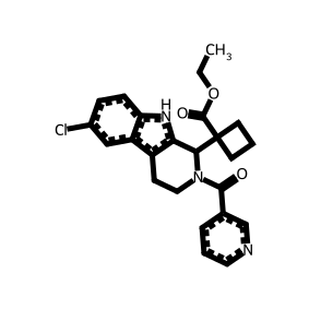 CCOC(=O)C1(C2c3[nH]c4ccc(Cl)cc4c3CCN2C(=O)c2cccnc2)CCC1